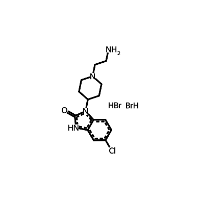 Br.Br.NCCN1CCC(n2c(=O)[nH]c3cc(Cl)ccc32)CC1